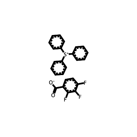 O=C([O-])c1ccc(F)c(F)c1F.c1ccc([S+](c2ccccc2)c2ccccc2)cc1